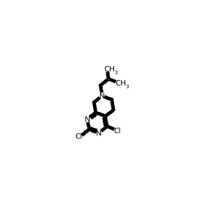 C[C](C)CN1CCc2c(Cl)nc(Cl)nc2C1